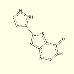 O=c1[nH]cnc2cc(-c3ccn[nH]3)sc12